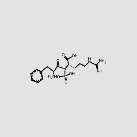 N=C(N)NCCC[C@@H](C(=O)O)N(C(=O)[C@@H](N)Cc1ccccc1)P(=O)(O)O